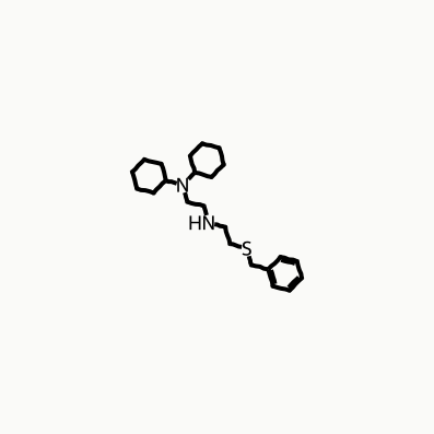 c1ccc(CSCCNCCN(C2CCCCC2)C2CCCCC2)cc1